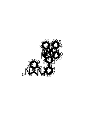 CN(C)CCCN(Cc1ccccc1)Cc1cccc(-c2ccc3c(c2)nnn3C(c2ccccc2)(c2ccccc2)c2ccccc2)c1